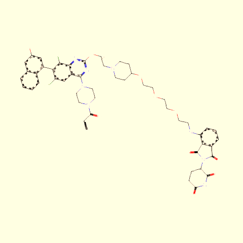 C=CC(=O)N1CCN(c2nc(O[C@H](C)CN3CCC(OCCOCCOCCNc4cccc5c4C(=O)N(C4CCC(=O)NC4=O)C5=O)CC3)nc3c(F)c(-c4cc(O)cc5ccccc45)c(Cl)cc23)CC1